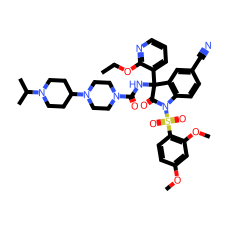 CCOc1ncccc1C1(NC(=O)N2CCN(C3CCN(C(C)C)CC3)CC2)C(=O)N(S(=O)(=O)c2ccc(OC)cc2OC)c2ccc(C#N)cc21